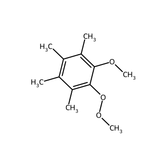 COOc1c(C)c(C)c(C)c(C)c1OC